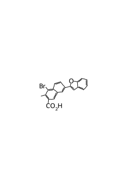 Cc1c(C(=O)O)cc2cc(-c3cc4ccccc4o3)ccc2c1Br